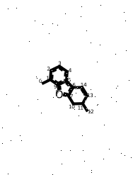 Cc1cccc2c3c(oc12)CC(C)C=C3